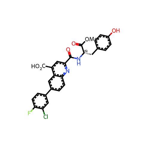 COC(=O)[C@H](Cc1ccc(O)cc1)NC(=O)c1cc(C(=O)O)c2cc(-c3ccc(F)c(Cl)c3)ccc2n1